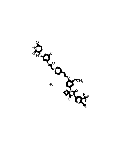 CCc1cc(N2C(=S)N(c3cnc(C#N)c(C(F)(F)F)c3)C(=O)C23CCC3)ccc1OCCC1CCN(CC(=O)Nc2cc(Cl)cc(NC3CCC(=O)NC3=O)c2)CC1.Cl